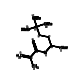 C=C(C)C(=O)OC(CCCCCCCCC)CC[Si](OC)(OC)OC